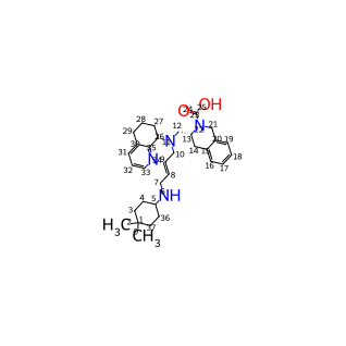 CC1(C)CCC(NC/C=C/CN(C[C@H]2Cc3ccccc3CN2C(=O)O)[C@H]2CCCc3cccnc32)CC1